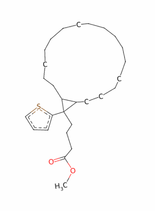 COC(=O)CCCC1(c2cccs2)C2CCCCCCCCCCCCCCCCC21